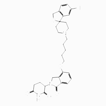 O=C1CCC(N2Cc3c(OCCCCCN4CCC5(CC4)OCc4ccc(Cl)cc45)cccc3C2=O)C(=O)N1